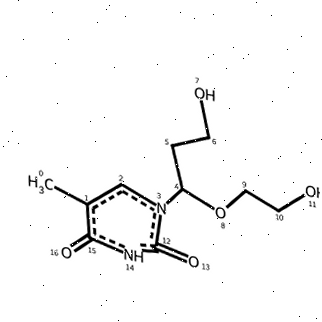 Cc1cn(C(CCO)OCCO)c(=O)[nH]c1=O